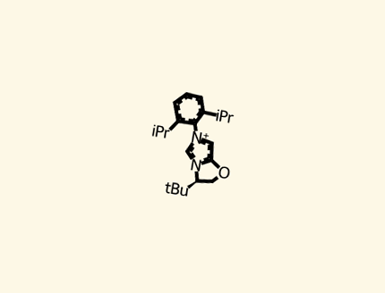 CC(C)c1cccc(C(C)C)c1-[n+]1cc2n(c1)[C@H](C(C)(C)C)CO2